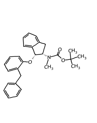 CN(C(=O)OC(C)(C)C)[C@H]1Cc2ccccc2[C@H]1Oc1ccccc1Cc1ccccc1